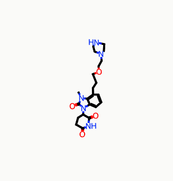 Cn1c(=O)n(C2CCC(=O)NC2=O)c2cccc(CCCOCCN3CCNCC3)c21